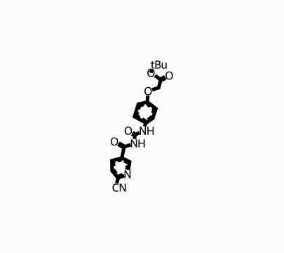 CC(C)(C)OC(=O)COc1ccc(NC(=O)NC(=O)c2ccc(C#N)nc2)cc1